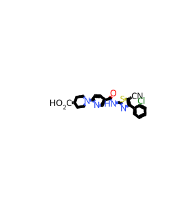 N#Cc1sc(NC(=O)c2ccc(N3CCC(C(=O)O)CC3)nc2)nc1-c1ccccc1Cl